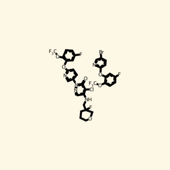 Fc1ccc(OC(F)(F)F)c(Oc2ccc(Br)cn2)c1.O=c1c(Cl)c(NCC2(F)CCCOC2)cnn1-c1ccc(Oc2cc(F)ccc2OC(F)(F)F)nc1